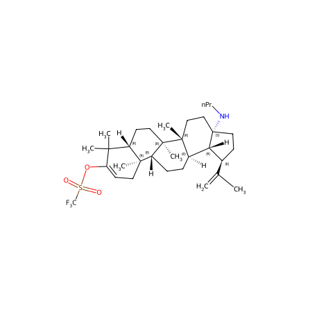 C=C(C)[C@@H]1CC[C@]2(NCCC)CC[C@]3(C)[C@H](CC[C@@H]4[C@@]5(C)CC=C(OS(=O)(=O)C(F)(F)F)C(C)(C)[C@@H]5CC[C@]43C)[C@@H]12